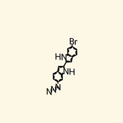 [N-]=[N+]=Nc1ccc2cc(-c3cc4ccc(Br)cc4[nH]3)[nH]c2c1